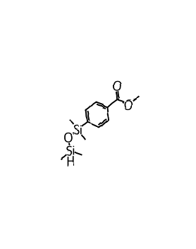 COC(=O)c1ccc([Si](C)(C)O[SiH](C)C)cc1